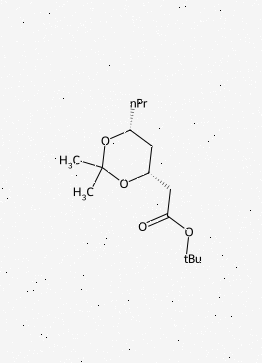 CCC[C@@H]1C[C@H](CC(=O)OC(C)(C)C)OC(C)(C)O1